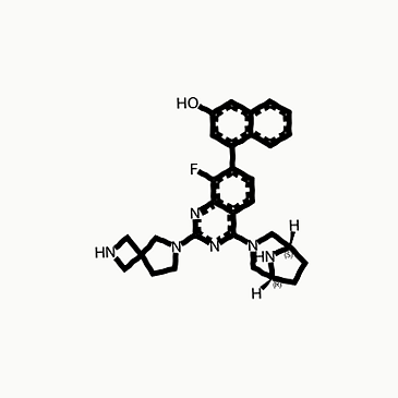 Oc1cc(-c2ccc3c(N4C[C@H]5CC[C@@H](C4)N5)nc(N4CCC5(CNC5)C4)nc3c2F)c2ccccc2c1